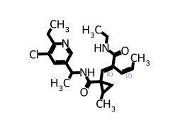 C/C=C\C(=C/C1(C(=O)NC(C)c2cnc(CC)c(Cl)c2)CC1C)C(=O)NCC